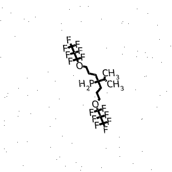 CC(C)C(P)(CCCOC(F)(F)C(F)(F)C(F)(F)F)CCCOC(F)(F)C(F)(F)C(F)(F)F